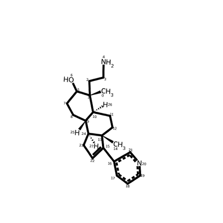 C[C@]1(CCN)C(O)CC[C@@H]2[C@@H]1CC[C@]1(C)C(c3cccnc3)=CC[C@@H]21